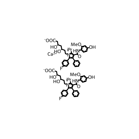 COc1cc(O)ccc1NC(=O)c1c(-c2ccccc2)c(-c2ccc(F)cc2)n(CC[C@@H](O)C[C@@H](O)CC(=O)[O-])c1C(C)C.COc1cc(O)ccc1NC(=O)c1c(-c2ccccc2)c(-c2ccc(F)cc2)n(CC[C@@H](O)C[C@@H](O)CC(=O)[O-])c1C(C)C.[Ca+2]